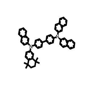 CC1(C)CCC(C)(C)c2cc(N(c3ccc(-c4ccc(N(c5ccc6ccccc6c5)c5ccc6ccccc6c5)cc4)cc3)c3ccc4ccccc4c3)ccc21